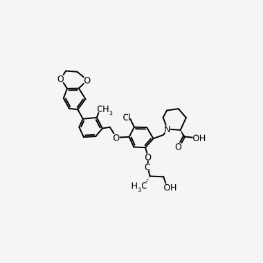 Cc1c(COc2cc(OC[C@@H](C)CO)c(CN3CCCC[C@H]3C(=O)O)cc2Cl)cccc1-c1ccc2c(c1)OCCO2